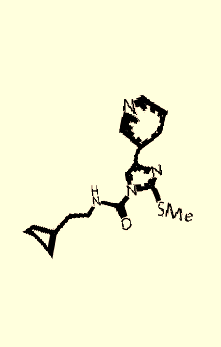 CSc1nc(-c2cccnc2)cn1C(=O)NCCC1CC1